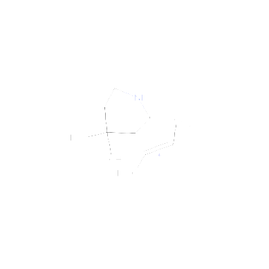 CC1(C)CCNCC1.O=C(O)/C=C/C(=O)O